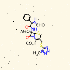 CO[C@@]1(NC(=O)C(NC=O)C2=CCC=CC2)C(=O)N2C(C(=O)O)=C(CSc3nnnn3C)CSC21